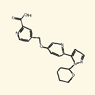 O=C(O)c1cc(COc2ccc(-c3ccnn3C3CCCCO3)nc2)ccn1